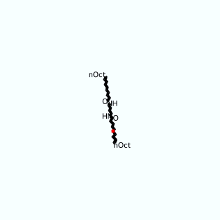 CCCCCCCCC=CCCCCCCCC(=O)NCCCCNC(=O)CCCCCCCC=CCCCCCCCC